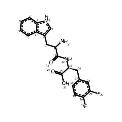 NC(Cc1c[nH]c2ccccc12)C(=O)N[C@@H](Cc1ccc(F)c(F)c1)C(=O)O